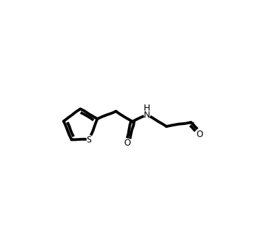 O=[C]CNC(=O)Cc1cccs1